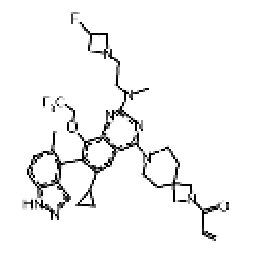 C=CC(=O)N1CC2(CCN(c3nc(N(C)CCN4CC(F)C4)nc4c(OCC(F)(F)F)c(-c5c(C)ccc6[nH]ncc56)c(C5CC5)cc34)CC2)C1